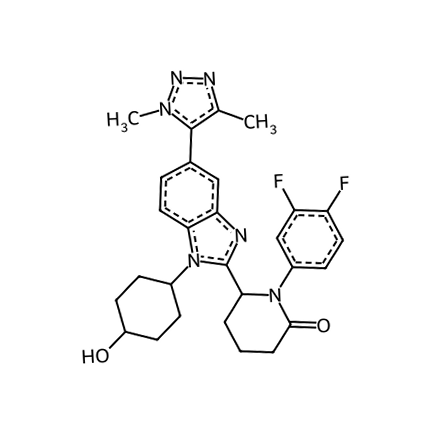 Cc1nnn(C)c1-c1ccc2c(c1)nc(C1CCCC(=O)N1c1ccc(F)c(F)c1)n2C1CCC(O)CC1